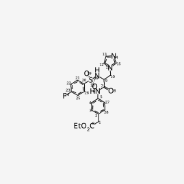 CCOC(=O)Cc1ccc(NC(=O)C(Cn2ccnc2)NS(=O)(=O)c2ccc(F)cc2)cc1